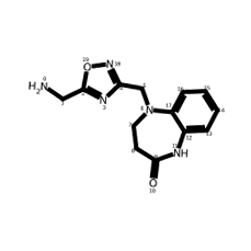 NCc1nc(CN2CCC(=O)Nc3ccccc32)no1